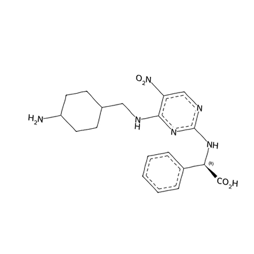 NC1CCC(CNc2nc(N[C@@H](C(=O)O)c3ccccc3)ncc2[N+](=O)[O-])CC1